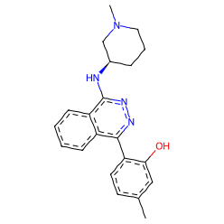 Cc1ccc(-c2nnc(N[C@@H]3CCCN(C)C3)c3ccccc23)c(O)c1